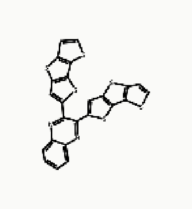 c1ccc2nc(-c3cc4sc5ccsc5c4s3)c(-c3cc4sc5ccsc5c4s3)nc2c1